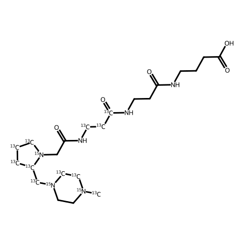 [13CH3][15N]1CC[15N]([13CH2][13CH]2[13CH2][13CH2][13CH2][15N]2CC(=O)N[13CH2][13CH2][13C](=O)NCCC(=O)NCCCC(=O)O)[13CH2][13CH2]1